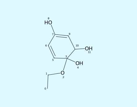 CCOC1(O)C=CC(O)=CC1O